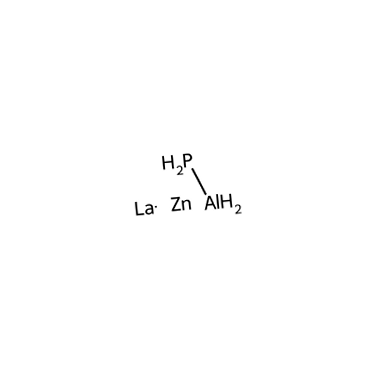 [AlH2][PH2].[La].[Zn]